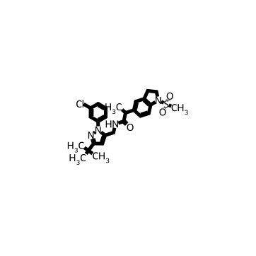 CC(C(=O)NCc1cc(C(C)(C)C)nn1-c1cccc(Cl)c1)c1ccc2c(c1)CCN2S(C)(=O)=O